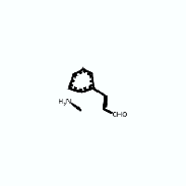 CN.O=C/C=C/c1ccccc1